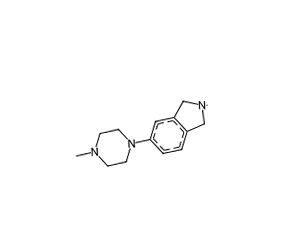 CN1CCN(c2ccc3c(c2)C[N]C3)CC1